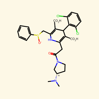 CN(C)[C@H]1CCN(C(=O)CC2=C(C(=O)O)C(c3c(Cl)cccc3Cl)C(C(=O)O)=C(C[S+]([O-])c3ccccc3)N2)C1